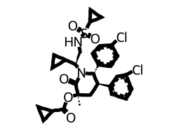 C[C@@]1(OC(=O)C2CC2)C[C@H](c2cccc(Cl)c2)[C@@H](c2ccc(Cl)cc2)N([C@H](CNS(=O)(=O)C2CC2)C2CC2)C1=O